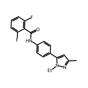 CCn1nc(C)cc1-c1ccc(NC(=O)c2c(F)cccc2F)cc1